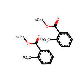 CCCCCCCCOC(=O)c1ccccc1C(=O)O.CCCCCCCCOC(=O)c1ccccc1C(=O)O